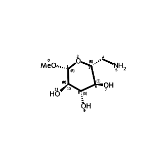 CO[C@@H]1O[C@H](CN)[C@@H](O)[C@H](O)[C@H]1O